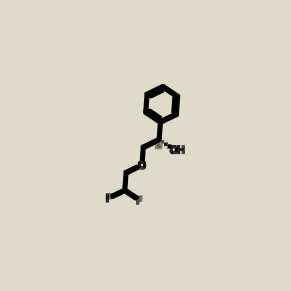 O[C@H](COCC(F)F)c1ccccc1